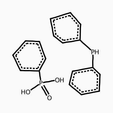 O=P(O)(O)c1ccccc1.c1ccc(Pc2ccccc2)cc1